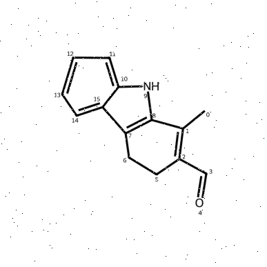 CC1=C(C=O)CCc2c1[nH]c1ccccc21